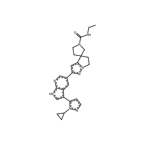 CCNC(=O)N1CCC2(CCn3nc(-c4cnc5[nH]cc(-c6ccnn6C6CC6)c5c4)cc32)C1